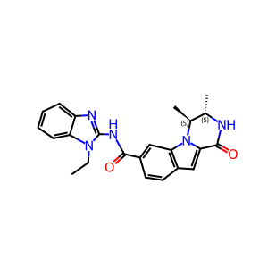 CCn1c(NC(=O)c2ccc3cc4n(c3c2)[C@@H](C)[C@H](C)NC4=O)nc2ccccc21